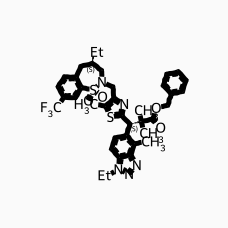 CC[C@H]1Cc2ccc(C(F)(F)F)cc2S(=O)(=O)N(Cc2nc([C@@H](c3ccc4c(nnn4CC)c3C)C(C)(C)C(=O)OCc3ccccc3)sc2C)C1